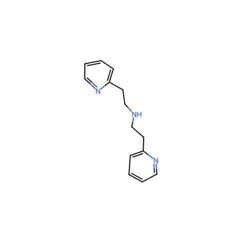 c1ccc(CCNCCc2ccccn2)nc1